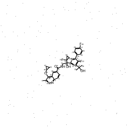 Cc1nnc2ccc(C(=O)NCC(O)(c3cc(C(C)(C)O)c(F)c(-c4ccc(F)cc4)n3)C3(F)CC3)cc2c1OC1CC1